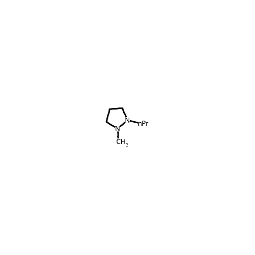 CCCN1CCCN1C